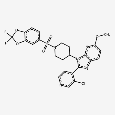 COc1ccc2nc(-c3ccncc3Cl)n(C3CCN(S(=O)(=O)c4ccc5c(c4)OC(F)(F)O5)CC3)c2n1